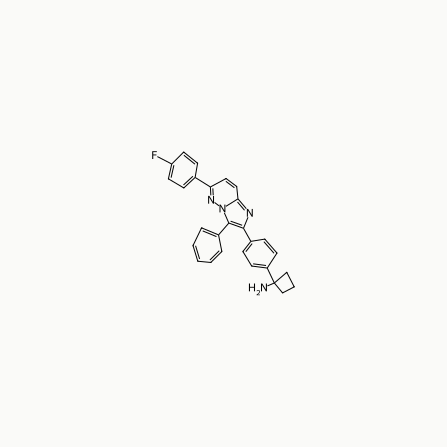 NC1(c2ccc(-c3nc4ccc(-c5ccc(F)cc5)nn4c3-c3ccccc3)cc2)CCC1